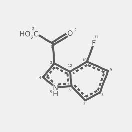 O=C(O)C(=O)c1c[nH]c2cccc(F)c12